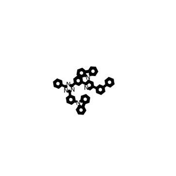 c1ccc(-c2cccc(-c3cnc(-c4cccc(-c5nc(-c6ccccc6)nc(-c6cccc(-n7c8ccccc8c8ccccc87)c6)n5)c4)c(-n4c5ccccc5c5ccccc54)c3)c2)cc1